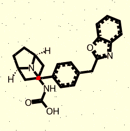 O=C(O)NC1C[C@H]2CC[C@@H](C1)N2Cc1ccc(Cc2nc3ccccc3o2)cc1